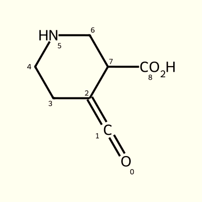 O=C=C1CCNCC1C(=O)O